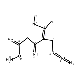 CN/C(C)=C(/CN=[N+]=[N-])C(=N)CC(=O)ON